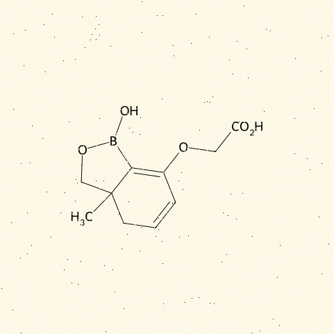 CC12CC=CC(OCC(=O)O)=C1B(O)OC2